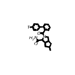 CC1CC2CN(C(=O)c3ccccc3-c3ccc(F)cc3)C(C(N)=O)C2C1